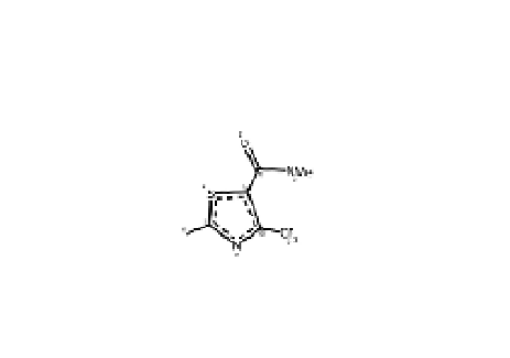 CNC(=O)c1sc(C)nc1C(F)(F)F